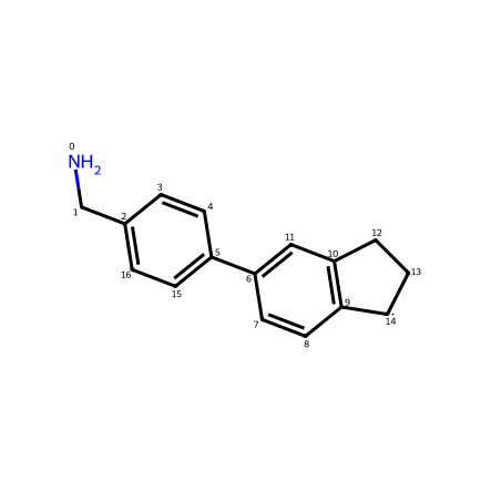 NCc1ccc(-c2ccc3c(c2)CC[CH]3)cc1